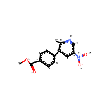 COC(=O)c1ccc(-c2cc([N+](=O)[O-])cnc2C)cc1